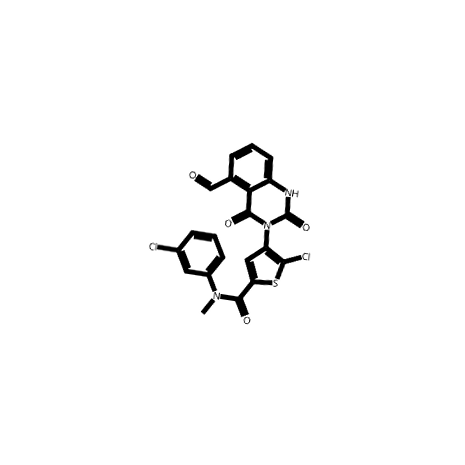 CN(C(=O)c1cc(-n2c(=O)[nH]c3cccc(C=O)c3c2=O)c(Cl)s1)c1cccc(Cl)c1